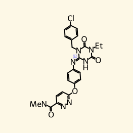 CCn1c(=O)[nH]/c(=N\c2ccc(Oc3ccc(C(=O)NC)nn3)cc2)n(Cc2ccc(Cl)cc2)c1=O